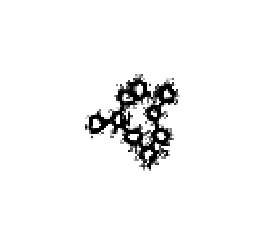 CC1C(c2ccccc2)=CC(c2ccccc2)=NC1c1ccc(-c2cncc3sc4ccc(-c5ccc6c(c5)c5ccccc5n6-c5ccccc5)cc4c23)cc1